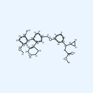 COC(=O)CC(c1cccc(OCc2ccc(-c3cc(OC)ccc3F)c(C3=CCOCC3)c2)c1)C1CC1